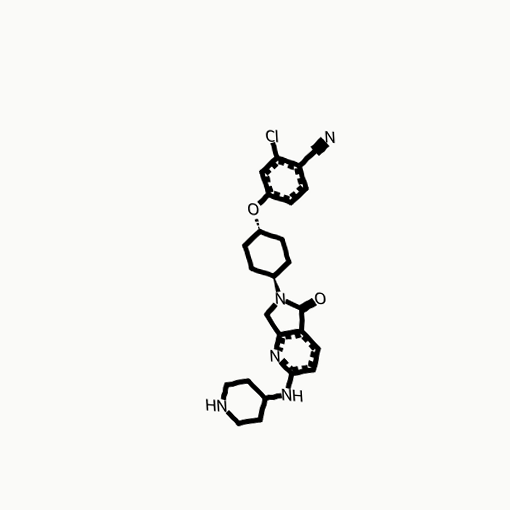 N#Cc1ccc(O[C@H]2CC[C@H](N3Cc4nc(NC5CCNCC5)ccc4C3=O)CC2)cc1Cl